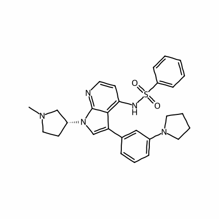 CN1CC[C@@H](n2cc(-c3cccc(N4CCCC4)c3)c3c(NS(=O)(=O)c4ccccc4)ccnc32)C1